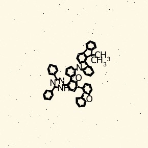 CC1(C)c2ccccc2-c2ccc3c(c21)c1ccccc1n3-c1cccc2c1oc1c(-c3cccc4oc5ccccc5c34)ccc(C3=NC(c4ccccc4)=NC(c4ccccc4)N3)c12